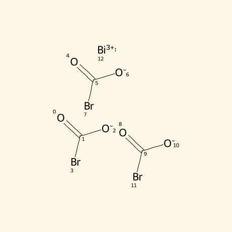 O=C([O-])Br.O=C([O-])Br.O=C([O-])Br.[Bi+3]